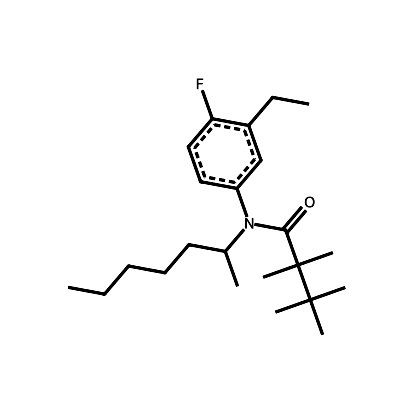 CCCCCC(C)N(C(=O)C(C)(C)C(C)(C)C)c1ccc(F)c(CC)c1